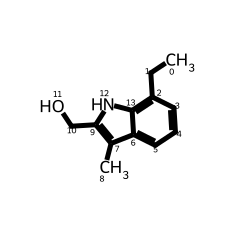 CCc1cccc2c(C)c(CO)[nH]c12